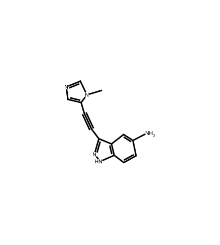 Cn1cncc1C#Cc1n[nH]c2ccc(N)cc12